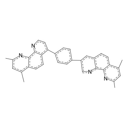 Cc1cc(C)c2ccc3cc(-c4ccc(-c5ccnc6c5ccc5c(C)cc(C)nc56)cc4)cnc3c2n1